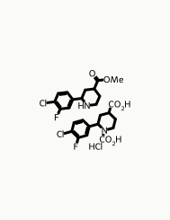 COC(=O)C1CCNC(c2ccc(Cl)c(F)c2)C1.Cl.O=C(O)C1CCN(C(=O)O)C(c2ccc(Cl)c(F)c2)C1